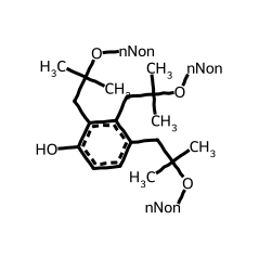 CCCCCCCCCOC(C)(C)Cc1ccc(O)c(CC(C)(C)OCCCCCCCCC)c1CC(C)(C)OCCCCCCCCC